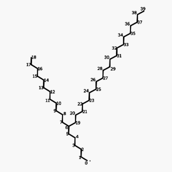 [CH2]CCCCCC(CCCCCCCCCCCC)CCCCCCCCCCCCCCCCCCCCC